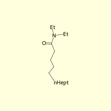 [CH2]CCCCCCCCCCC(=O)N(CC)CC